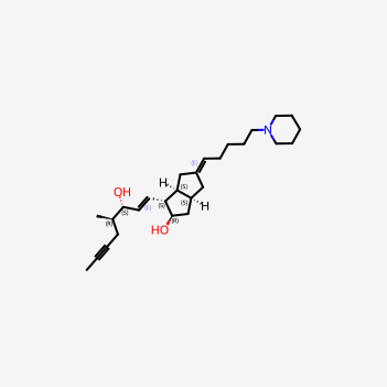 CC#CC[C@@H](C)[C@H](O)/C=C/[C@@H]1[C@H]2C/C(=C/CCCCN3CCCCC3)C[C@H]2C[C@H]1O